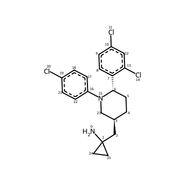 NC1(C[C@@H]2CC[C@@H](c3ccc(Cl)cc3Cl)N(c3ccc(Cl)cc3)C2)CC1